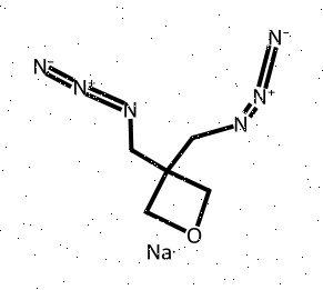 [N-]=[N+]=NCC1(CN=[N+]=[N-])COC1.[Na]